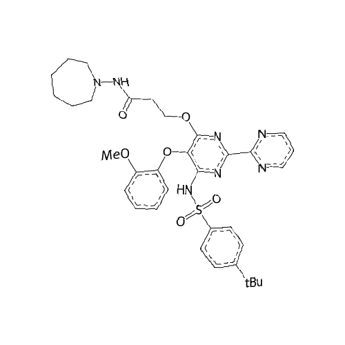 COc1ccccc1Oc1c(NS(=O)(=O)c2ccc(C(C)(C)C)cc2)nc(-c2ncccn2)nc1OCCC(=O)NN1CCCCCC1